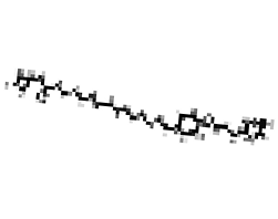 O=C(CCCCCCCCCCCCCCc1ccc(OCCCc2c[nH]cn2)cc1)CC1CCC1